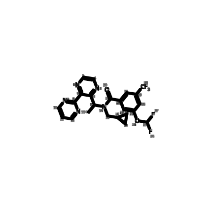 CC(c1nccnc1-c1ncccn1)N(CC1CC1)C(=O)c1cc(OC(F)F)cc(C(F)(F)F)c1